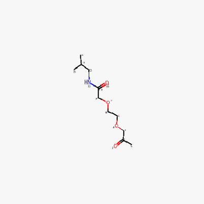 CC(=O)COCCOCC(=O)NCC(C)C